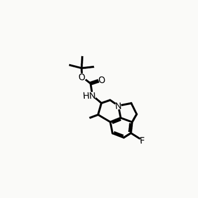 CC1c2ccc(F)c3c2N(CC3)CC1NC(=O)OC(C)(C)C